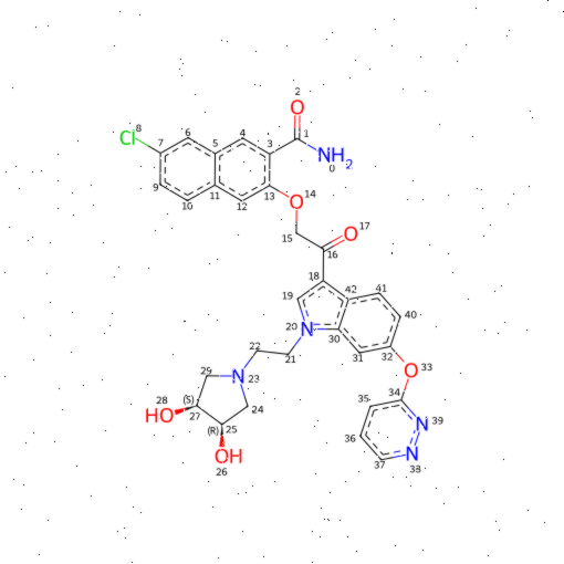 NC(=O)c1cc2cc(Cl)ccc2cc1OCC(=O)c1cn(CCN2C[C@@H](O)[C@@H](O)C2)c2cc(Oc3cccnn3)ccc12